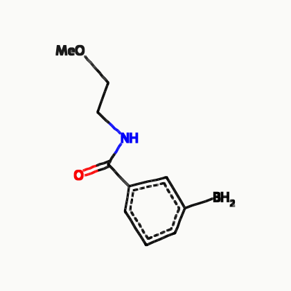 Bc1cccc(C(=O)NCCOC)c1